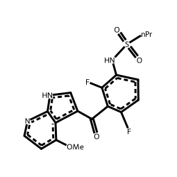 CCCS(=O)(=O)Nc1ccc(F)c(C(=O)c2c[nH]c3nccc(OC)c23)c1F